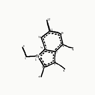 CCn1c(C)c(C)c2c(C)cc(C)cc21